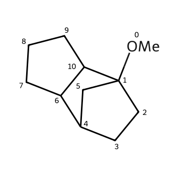 COC12CCC(C1)C1CCCC12